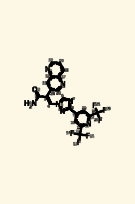 NC(=O)/C(=C/n1cnc(-c2cc(C(F)(F)F)nc(C(F)(F)F)c2)n1)c1cnc2cccnc2c1